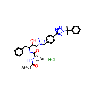 CC[C@H](C)[C@H](NC(=O)OC)C(=O)NC(Cc1ccccc1)C(O)CN(N)Cc1ccc(-c2nnn(C(C)(C)c3ccccc3)n2)cc1.Cl